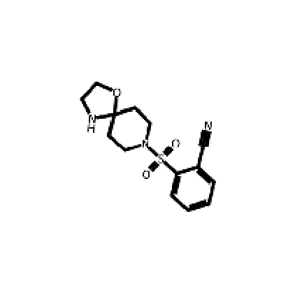 N#Cc1ccccc1S(=O)(=O)N1CCC2(CC1)NCCO2